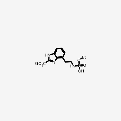 CCOC(=O)c1nc2c(CCNP(=O)(O)OCC)cccc2[nH]1